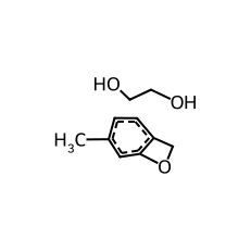 Cc1ccc2c(c1)OC2.OCCO